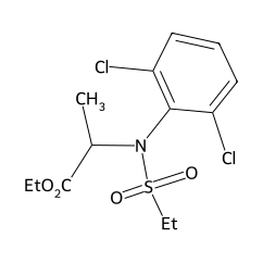 CCOC(=O)C(C)N(c1c(Cl)cccc1Cl)S(=O)(=O)CC